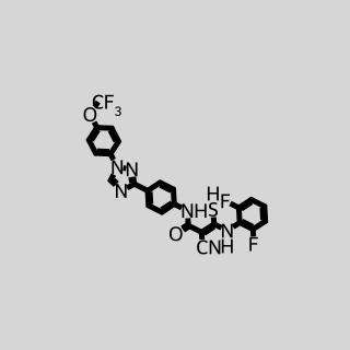 N#CC(C(=O)Nc1ccc(-c2ncn(-c3ccc(OC(F)(F)F)cc3)n2)cc1)=C(S)Nc1c(F)cccc1F